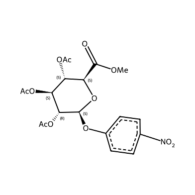 COC(=O)[C@H]1O[C@@H](Oc2ccc([N+](=O)[O-])cc2)[C@H](OC(C)=O)[C@@H](OC(C)=O)[C@@H]1OC(C)=O